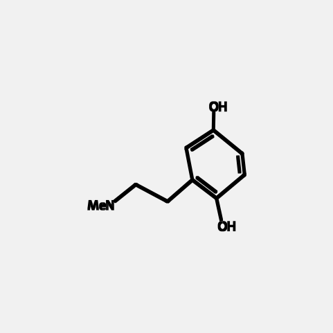 CNCCc1cc(O)ccc1O